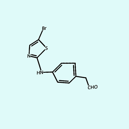 O=CCc1ccc(Nc2ncc(Br)s2)cc1